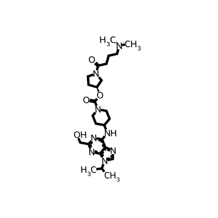 CC(C)n1cnc2c(NC3CCN(C(=O)O[C@H]4CCN(C(=O)CCCN(C)C)C4)CC3)nc(CO)nc21